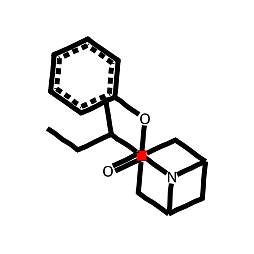 CCC(C)N1CC2CC(C1)N2C(=O)Oc1ccccc1